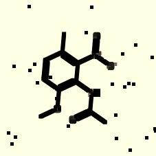 COc1ccc(C)c([N+](=O)[O-])c1NC(C)=O